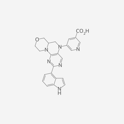 O=C(O)c1cncc(N2CC3COCCN3c3nc(-c4cccc5[nH]ccc45)ncc32)c1